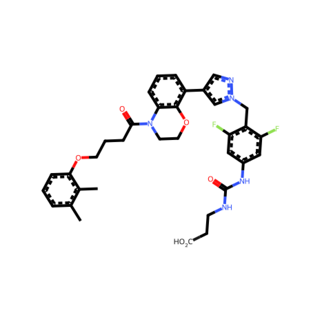 Cc1cccc(OCCCC(=O)N2CCOc3c(-c4cnn(Cc5c(F)cc(NC(=O)NCCC(=O)O)cc5F)c4)cccc32)c1C